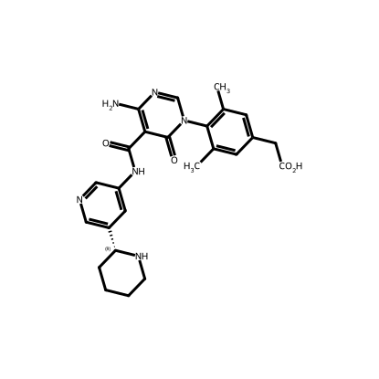 Cc1cc(CC(=O)O)cc(C)c1-n1cnc(N)c(C(=O)Nc2cncc([C@H]3CCCCN3)c2)c1=O